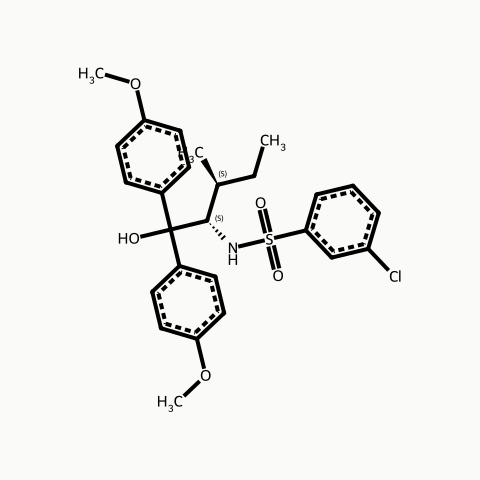 CC[C@H](C)[C@H](NS(=O)(=O)c1cccc(Cl)c1)C(O)(c1ccc(OC)cc1)c1ccc(OC)cc1